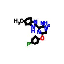 Cc1ccc2nc(-c3nc(Oc4ccc(F)cc4)cnc3N)[nH]c2c1